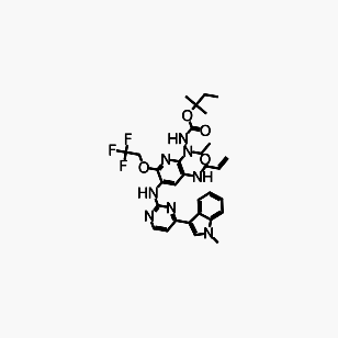 C=CC(=O)Nc1cc(Nc2nccc(-c3cn(C)c4ccccc34)n2)c(OCC(F)(F)F)nc1N(CC)NC(=O)OC(C)(C)CC